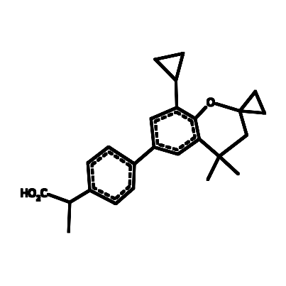 CC(C(=O)O)c1ccc(-c2cc(C3CC3)c3c(c2)C(C)(C)CC2(CC2)O3)cc1